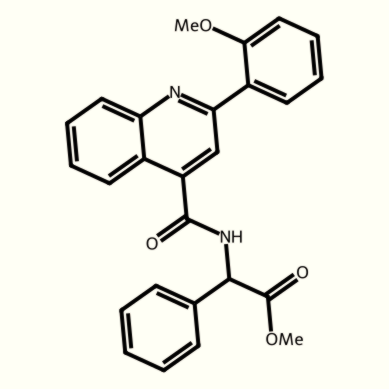 COC(=O)C(NC(=O)c1cc(-c2ccccc2OC)nc2ccccc12)c1ccccc1